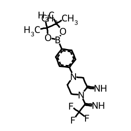 CC1(C)OB(c2ccc(N3CCN(C(=N)C(F)(F)F)C(=N)C3)cc2)OC1(C)C